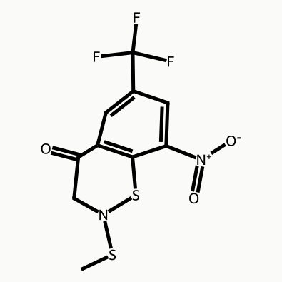 CSN1CC(=O)c2cc(C(F)(F)F)cc([N+](=O)[O-])c2S1